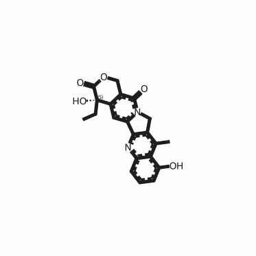 CC[C@@]1(O)C(=O)OCc2c1cc1n(c2=O)Cc2c-1nc1cccc(O)c1c2C